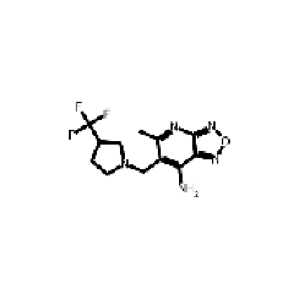 Cc1nc2nonc2c(N)c1CN1CCC(C(F)(F)F)C1